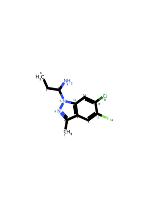 C[CH]C(N)n1nc(C)c2cc(F)c(Cl)cc21